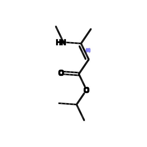 CN/C(C)=C\C(=O)OC(C)C